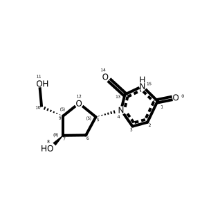 O=c1ccn([C@@H]2C[C@@H](O)[C@H](CO)O2)c(=O)[nH]1